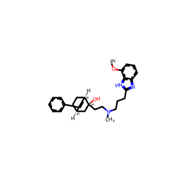 CC(C)Oc1cccc2nc(CCCN(C)CC[C@]3(O)C[C@H]4CC[C@@H]3C=C4c3ccccc3)[nH]c12